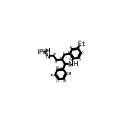 CCc1ccc2c(c1)CC(CCNC(C)C)C(c1ccccc1)N2